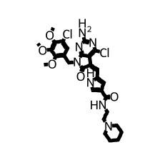 COc1c(Cl)cc(CN2C(=O)/C(=C\c3cc(C(=O)NCCN4CCCCC4)c[nH]3)c3c(Cl)nc(N)nc32)c(OC)c1OC